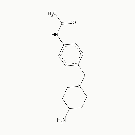 CC(=O)Nc1ccc(CN2CCC(N)CC2)cc1